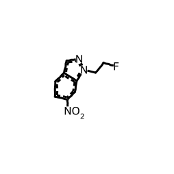 O=[N+]([O-])c1ccc2cnn(CCF)c2c1